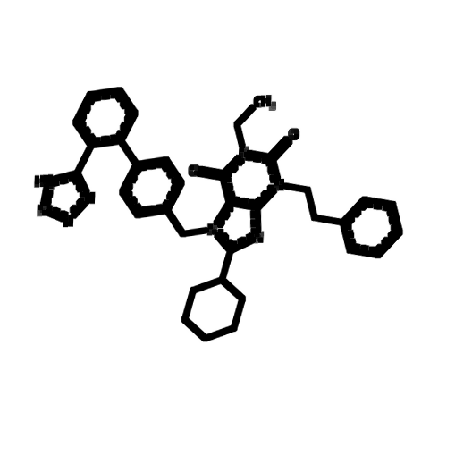 CCn1c(=O)c2c(nc(C3CCCCC3)n2Cc2ccc(-c3ccccc3-c3nnn[nH]3)cc2)n(CCc2ccccc2)c1=O